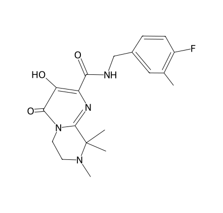 Cc1cc(CNC(=O)c2nc3n(c(=O)c2O)CCN(C)C3(C)C)ccc1F